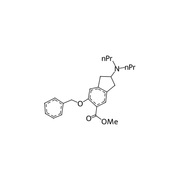 CCCN(CCC)C1Cc2cc(OCc3ccccc3)c(C(=O)OC)cc2C1